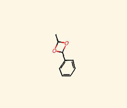 CC1OC(c2ccccc2)O1